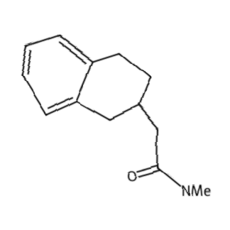 CNC(=O)CC1CCc2ccccc2C1